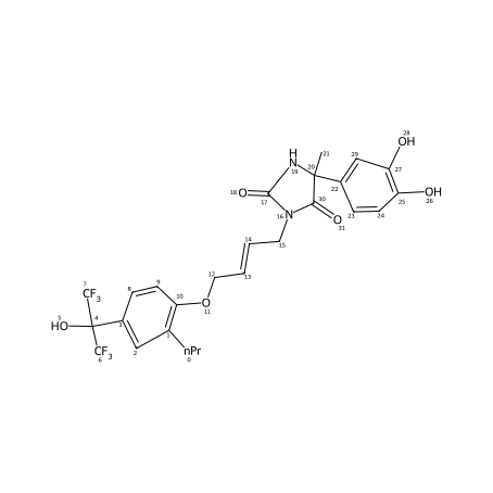 CCCc1cc(C(O)(C(F)(F)F)C(F)(F)F)ccc1OC/C=C/CN1C(=O)NC(C)(c2ccc(O)c(O)c2)C1=O